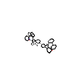 C=C/C=C\c1c(C)c2cc(-c3ccc4c5ccccc5n(-c5ccccc5-c5ccccc5)c4c3)ccc2n1-c1ccccc1-c1ccccc1